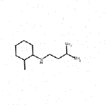 CC1CCCCC1NCCC(N)N